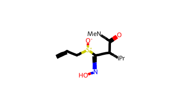 C=CC[S+]([O-])C(=NO)C(C(=O)NC)C(C)C